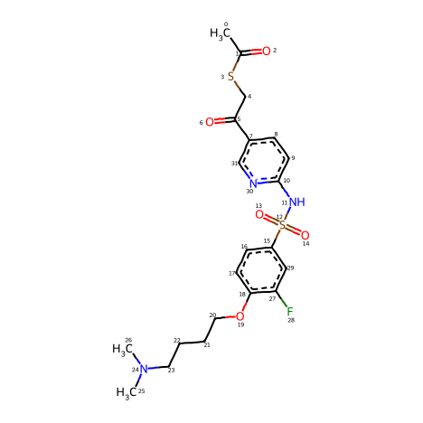 CC(=O)SCC(=O)c1ccc(NS(=O)(=O)c2ccc(OCCCCN(C)C)c(F)c2)nc1